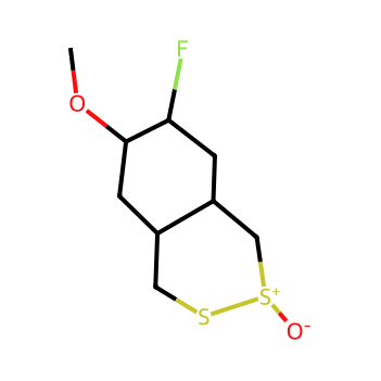 COC1CC2CS[S+]([O-])CC2CC1F